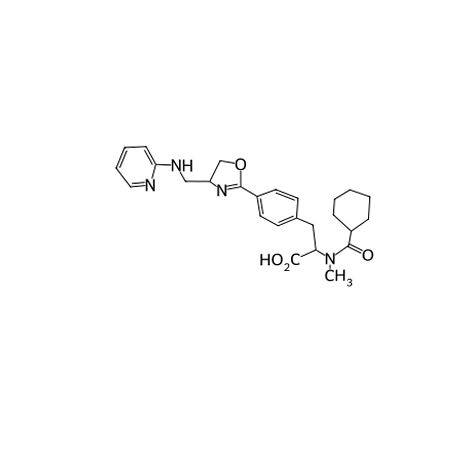 CN(C(=O)C1CCCCC1)C(Cc1ccc(C2=NC(CNc3ccccn3)CO2)cc1)C(=O)O